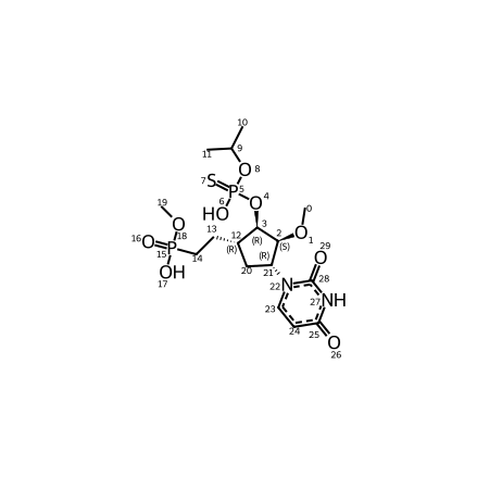 CO[C@@H]1[C@H](OP(O)(=S)OC(C)C)[C@@H](CCP(=O)(O)OC)C[C@H]1n1ccc(=O)[nH]c1=O